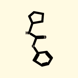 O=C(NC1CCCC1)Oc1ccccc1